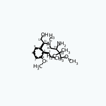 CC/C=c1\c(OC)ccc\c1=C(/CO)N(C)CC(N)C(C)(C)COC